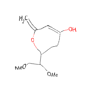 C=C1C=C(O)CC(C(OC)OC)O1